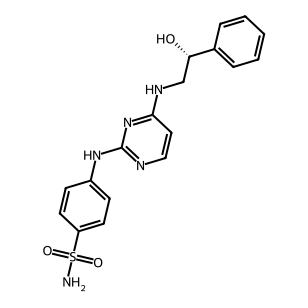 NS(=O)(=O)c1ccc(Nc2nccc(NC[C@H](O)c3ccccc3)n2)cc1